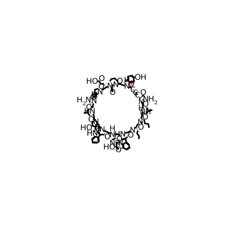 CCCC[C@H]1C(=O)N(C)[C@@H](CCCC)C(=O)N[C@@H](CC(C)C)C(=O)N[C@H](C(N)=O)CCCC(=O)N[C@@H](Cc2ccc(O)cc2)C(=O)N2CCCC[C@@]23C(=O)N3[C@@H](CCC(=O)O)C(=O)N2CCC[C@H]2C(=O)N[C@@H](CN)C(=O)N[C@@H](CC(C)C)C(=O)N2C[C@H](O)C[C@H]2C(=O)N[C@@H](Cc2c[nH]c3ccccc23)C(=O)N[C@@H](CCN)C(=O)N[C@@H](Cc2cn(CC(=O)O)c3ccccc23)C(=O)N1C